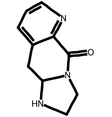 O=C1c2ncccc2CC2NCCN12